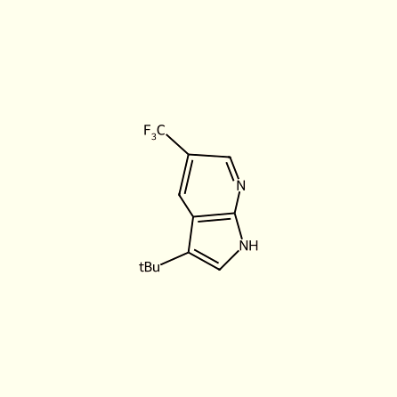 CC(C)(C)c1c[nH]c2ncc(C(F)(F)F)cc12